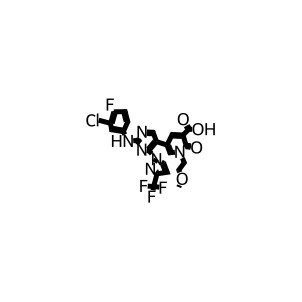 COCCn1cc(-c2cnc(Nc3ccc(F)c(Cl)c3)nc2-n2ccc(C(F)(F)F)n2)cc(C(=O)O)c1=O